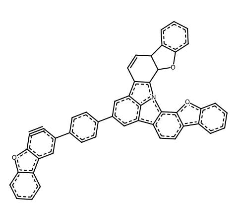 c1c(-c2ccc(-c3cc4c5c(n6c4c(c3)c3ccc4c7ccccc7oc4c36)C3Oc4ccccc4C3C=C5)cc2)cc2c(c#1)oc1ccccc12